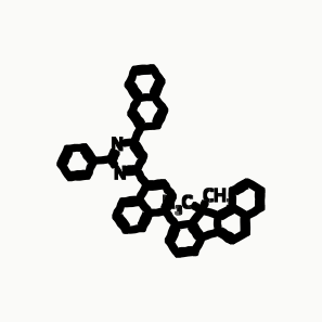 CC1(C)c2c(cccc2-c2ccc(-c3cc(-c4ccc5ccccc5c4)nc(-c4ccccc4)n3)c3ccccc23)-c2ccc3ccccc3c21